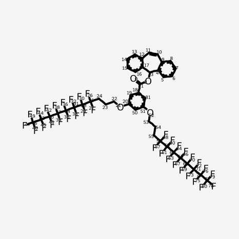 O=C(OC1c2ccccc2C=Cc2ccccc21)c1cc(OCCCC(F)(F)C(F)(F)C(F)(F)C(F)(F)C(F)(F)C(F)(F)C(F)(F)C(F)(F)F)cc(OCCCC(F)(F)C(F)(F)C(F)(F)C(F)(F)C(F)(F)C(F)(F)C(F)(F)C(F)(F)F)c1